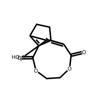 O=C1OCCOC(=O)c2c3c1cc(S(=O)(=O)O)c2CC3